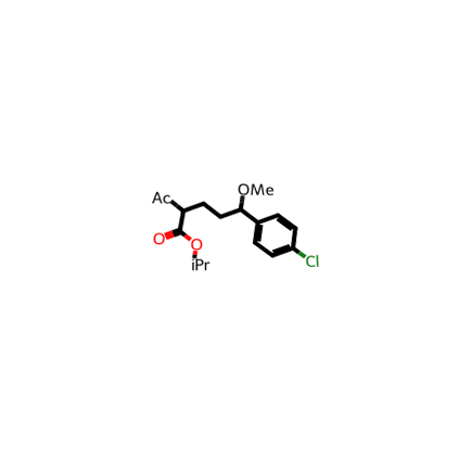 COC(CCC(C(C)=O)C(=O)OC(C)C)c1ccc(Cl)cc1